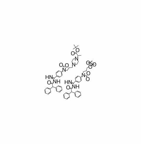 CC(C(=O)OC(C)(C)C)N1CCN(CC2CN(c3ccc(C(=N)NC(=O)C(c4ccccc4)c4ccccc4)cc3)C(=O)O2)CC1.CS(=O)(=O)OCC1CN(c2ccc(C(=N)NC(=O)C(c3ccccc3)c3ccccc3)cc2)C(=O)O1